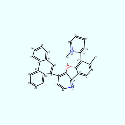 Cc1ccc2c(oc3c(-c4cc5ccccc5c5ccccc45)ccnc32)c1-c1cccc[n+]1C